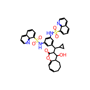 O=C1OC2=CC=CCCCC2C(O)C1C(c1cc(NS(=O)(=O)c2cccc3cccnc23)cc(NS(=O)(=O)c2cccc3cccnc23)c1)C1CC1